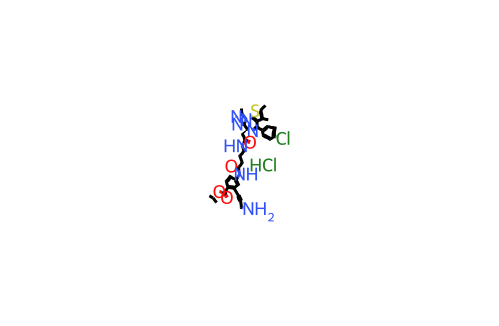 Cc1sc2c(c1C)C(c1ccc(Cl)cc1)=N[C@@H](CC(=O)NCCCC(=O)Nc1ccc(C(=O)OC(C)C)c(C#CCN)c1)c1nnc(C)n1-2.Cl